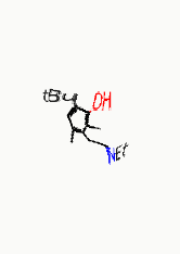 CC/N=C/Cc1c(C)cc(C(C)(C)C)c(O)c1C